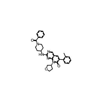 Cc1ccccc1-c1cc2cnc(NC3CCN(C(=O)c4ccccc4)CC3)nc2n([C@H]2CCOC2)c1=O